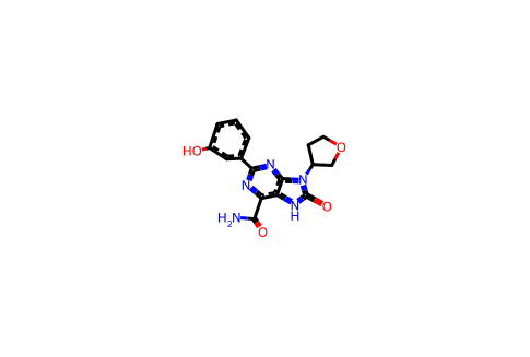 NC(=O)c1nc(-c2cccc(O)c2)nc2c1[nH]c(=O)n2C1CCOC1